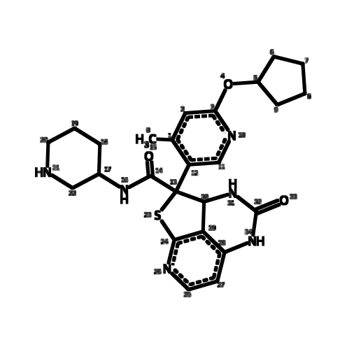 Cc1cc(OC2CCCC2)ncc1C1(C(=O)NC2CCCNC2)Sc2nccc3c2C1NC(=O)N3